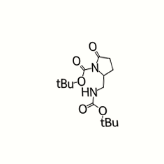 CC(C)(C)OC(=O)NCC1CCC(=O)N1C(=O)OC(C)(C)C